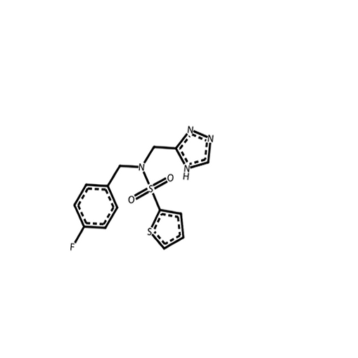 O=S(=O)(c1cccs1)N(Cc1ccc(F)cc1)Cc1nnc[nH]1